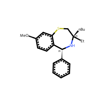 CCCC[C@]1(CC)CSc2cc(OC)ccc2[C@@H](c2ccccc2)N1